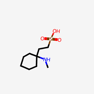 CNC1(CCS(=O)(=O)O)CCCCC1